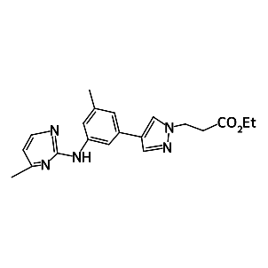 CCOC(=O)CCn1cc(-c2cc(C)cc(Nc3nccc(C)n3)c2)cn1